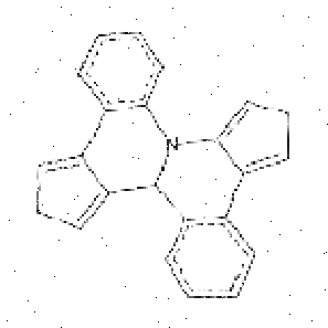 C1=C2C(=CC1)N1c3ccccc3C3=CCC=C3C1c1ccccc12